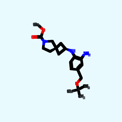 CC(C)(C)OC(=O)N1CC[C@]2(C1)C[C@H](Nc1ccc(CO[Si](C)(C)C(C)(C)C)cc1N)C2